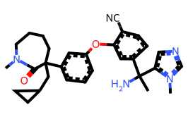 CN1CCCCC(CC2CC2)(c2cccc(Oc3cc(C(C)(N)c4cncn4C)ccc3C#N)c2)C1=O